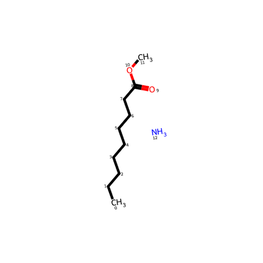 CCCCCCCCC(=O)OC.N